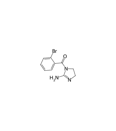 NC1=NCCN1C(=O)c1ccccc1Br